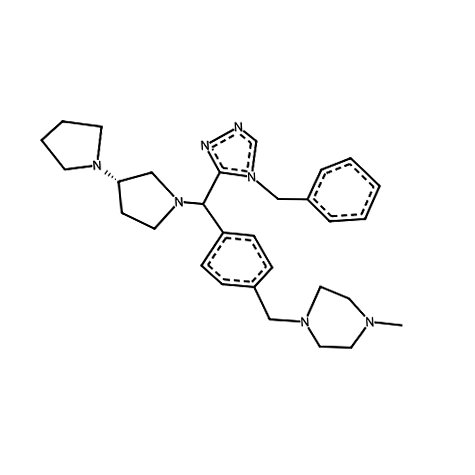 CN1CCN(Cc2ccc(C(c3nncn3Cc3ccccc3)N3CC[C@H](N4CCCC4)C3)cc2)CC1